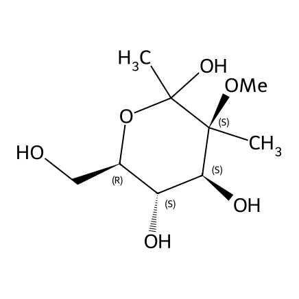 CO[C@@]1(C)[C@@H](O)[C@H](O)[C@@H](CO)OC1(C)O